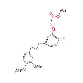 COc1ccc(CC[CH]c2ccc(F)c(OCC(=O)OC(C)(C)C)c2)cc1OC